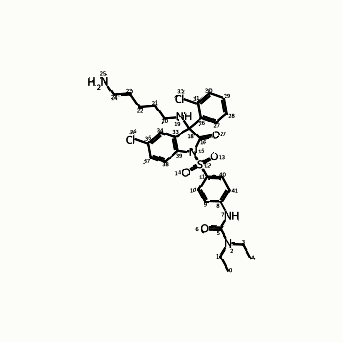 CCN(CC)C(=O)Nc1ccc(S(=O)(=O)N2C(=O)C(NCCCCCN)(c3ccccc3Cl)c3cc(Cl)ccc32)cc1